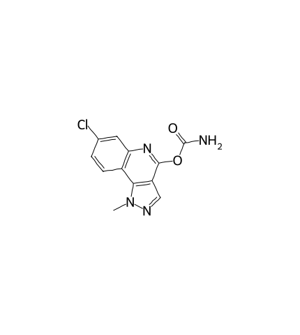 Cn1ncc2c(OC(N)=O)nc3cc(Cl)ccc3c21